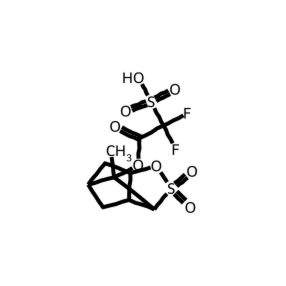 CC1(OC(=O)C(F)(F)S(=O)(=O)O)C2CC3OS(=O)(=O)C1C3C2